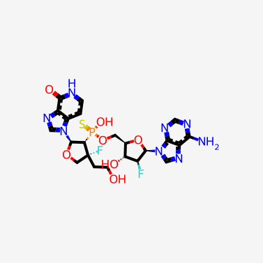 Nc1ncnc2c1ncn2[C@@H]1O[C@H](COP(O)(=S)[C@H]2[C@H](n3cnc4c(=O)[nH]ccc43)OC[C@]2(F)CCO)[C@@H](O)[C@@H]1F